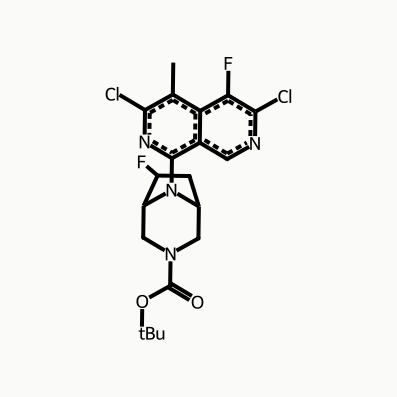 Cc1c(Cl)nc(N2C3CC(F)C2CN(C(=O)OC(C)(C)C)C3)c2cnc(Cl)c(F)c12